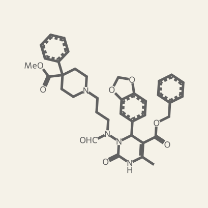 COC(=O)C1(c2ccccc2)CCN(CCCN(C=O)N2C(=O)NC(C)=C(C(=O)OCc3ccccc3)C2c2ccc3c(c2)OCO3)CC1